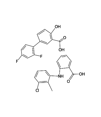 Cc1c(Cl)cccc1Nc1ccccc1C(=O)O.O=C(O)c1cc(-c2ccc(F)cc2F)ccc1O